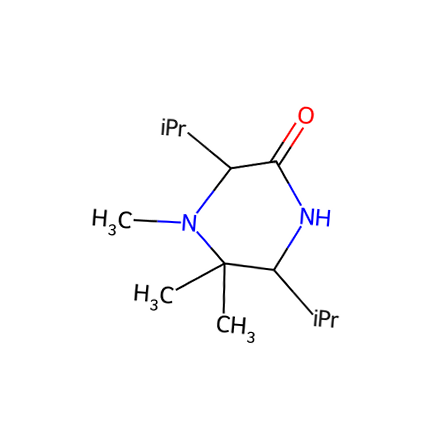 CC(C)C1C(=O)NC(C(C)C)C(C)(C)N1C